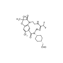 CC(C)N(C(=O)c1cc2c(cc1C(F)(F)F)OC(C)(C)C(=O)N2CCNC(=O)C(F)F)[C@H]1CC[C@@H](CC=O)CC1